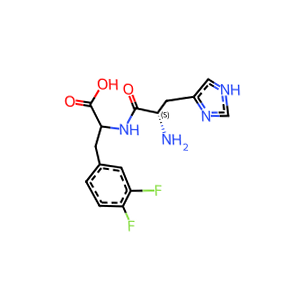 N[C@@H](Cc1c[nH]cn1)C(=O)NC(Cc1ccc(F)c(F)c1)C(=O)O